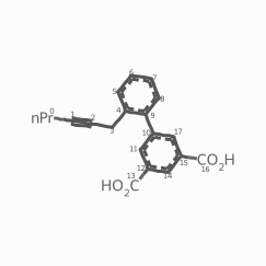 CCCC#CCc1ccccc1-c1cc(C(=O)O)cc(C(=O)O)c1